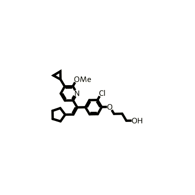 COc1nc(/C(=C\C2CCCC2)c2ccc(OCCCO)c(Cl)c2)ccc1C1CC1